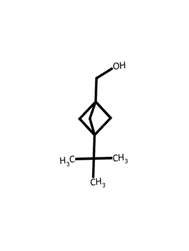 CC(C)(C)C12CC(CO)(C1)C2